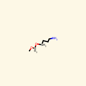 CO[SiH2]O[SiH2]CCCN